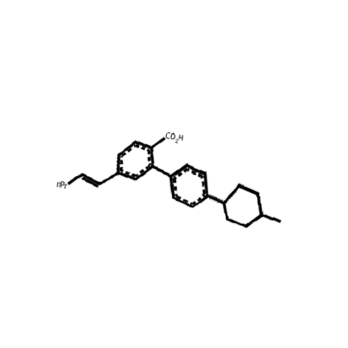 CCC/C=C/c1ccc(C(=O)O)c(-c2ccc(C3CCC(C)CC3)cc2)c1